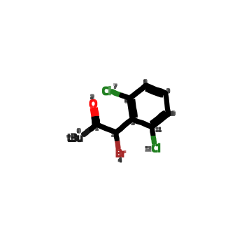 CC(C)(C)C(=O)C(Br)c1c(Cl)cccc1Cl